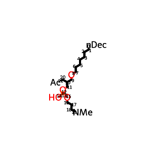 CCCCCCCCCCCCCCCCCOCC(COP(O)OCCCNC)CC(C)=O